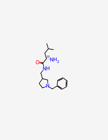 CC(C)C[C@H](N)C(=O)NCC1CCN(Cc2ccccc2)C1